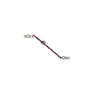 CCCCCCCC/C=C\CCCCCCCCCCCCOC(=O)CCCCCCCCCCCCCCCCCCCCCCCCCCCCCCCCCCCCC